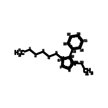 CCCCCCn1cc[n+](CC)c1-c1ccccc1